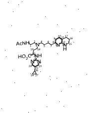 CC(=O)NCCN(CCCCc1ccc2c(n1)NCCC2)CCC(Nc1ncc(C2CC2)cn1)C(=O)O